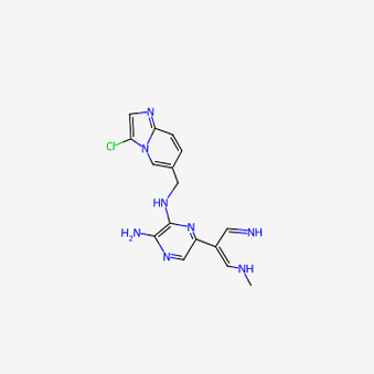 CN/C=C(\C=N)c1cnc(N)c(NCc2ccc3ncc(Cl)n3c2)n1